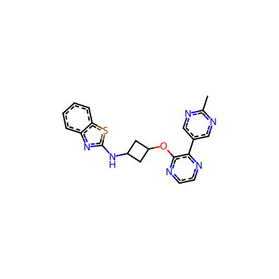 Cc1ncc(-c2nccnc2OC2CC(Nc3nc4ccccc4s3)C2)cn1